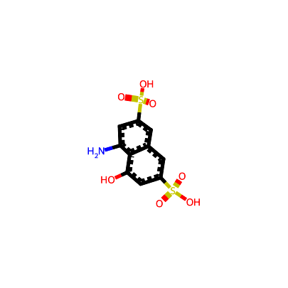 Nc1cc(S(=O)(=O)O)cc2cc(S(=O)(=O)O)cc(O)c12